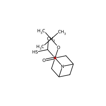 CC(S)N1CC2CC(C1)N2C(=O)OC(C)(C)C